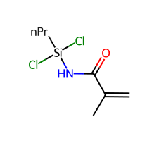 C=C(C)C(=O)N[Si](Cl)(Cl)CCC